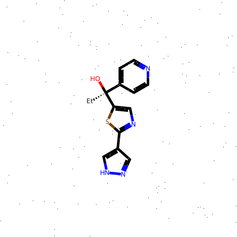 CC[C@](O)(c1ccncc1)c1cnc(-c2cn[nH]c2)s1